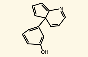 Oc1cccc(C23C=CC=NC2=CC=C3)c1